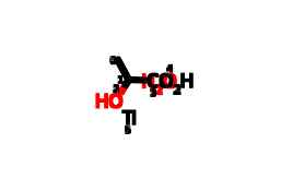 CC(O)C(=O)O.O.[Ti]